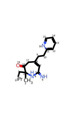 CC(C)CC1(C)NC(=N)C=C(CCc2ccccn2)CC1=O